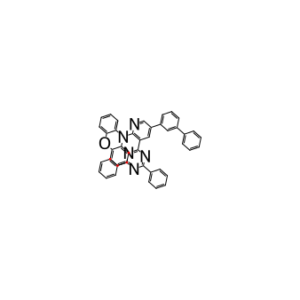 c1ccc(-c2cccc(-c3cnc(N4c5ccccc5Oc5ccccc54)c(-c4nc(-c5ccccc5)nc(-c5ccccc5)n4)c3)c2)cc1